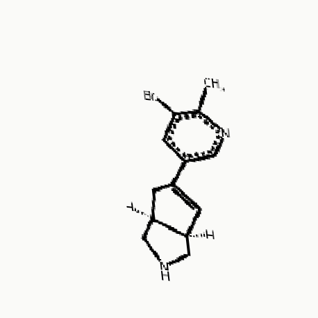 Cc1ncc(C2=C[C@H]3CNC[C@H]3C2)cc1Br